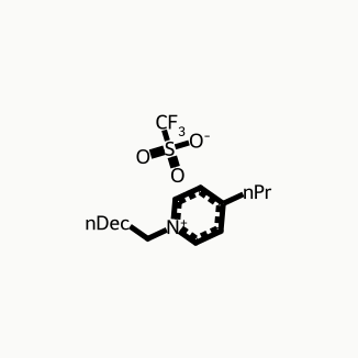 CCCCCCCCCCC[n+]1ccc(CCC)cc1.O=S(=O)([O-])C(F)(F)F